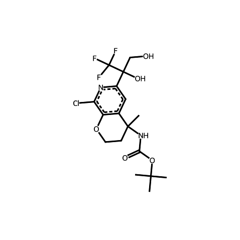 CC(C)(C)OC(=O)NC1(C)CCOc2c1cc(C(O)(CO)C(F)(F)F)nc2Cl